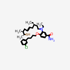 CC[C@@H](C/C=C/C[C@H](C)[C@@H](C)S)CCN(CC)c1cc(C(N)=O)ccc1OCCCCc1cccc(Cl)c1